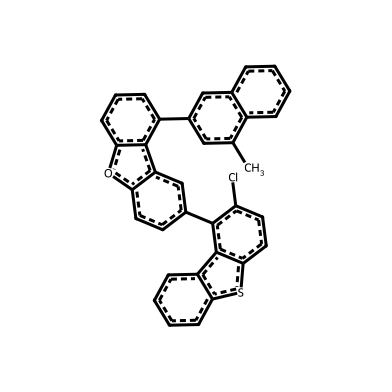 Cc1cc(-c2cccc3oc4ccc(-c5c(Cl)ccc6sc7ccccc7c56)cc4c23)cc2ccccc12